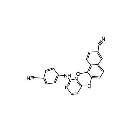 N#Cc1ccc(Nc2nccc(Oc3ccc4cc(C#N)ccc4c3Cl)n2)cc1